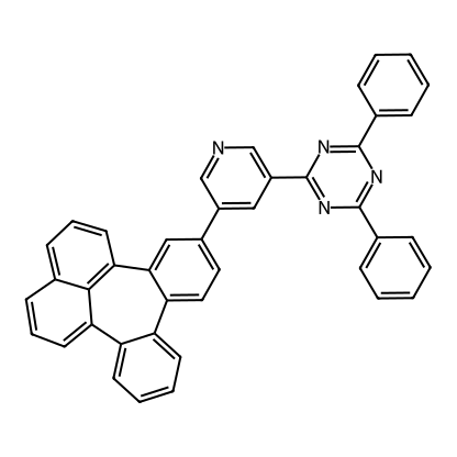 c1ccc(-c2nc(-c3ccccc3)nc(-c3cncc(-c4ccc5c(c4)-c4cccc6cccc(c46)-c4ccccc4-5)c3)n2)cc1